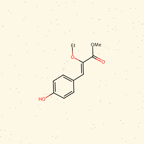 CCO/C(=C\c1ccc(O)cc1)C(=O)OC